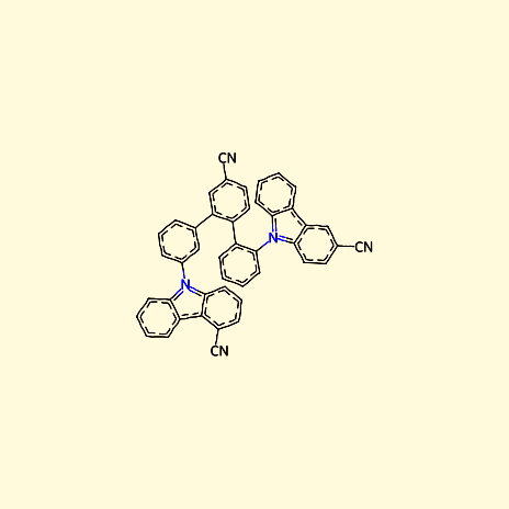 N#Cc1ccc(-c2ccccc2-n2c3ccccc3c3cc(C#N)ccc32)c(-c2cccc(-n3c4ccccc4c4c(C#N)cccc43)c2)c1